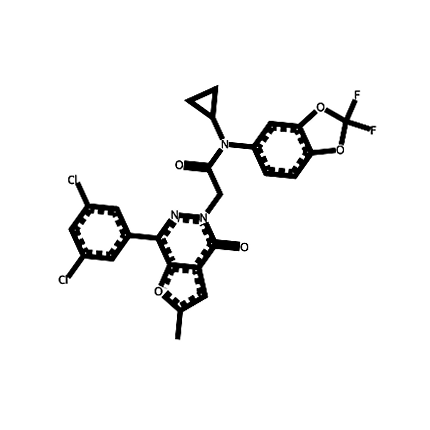 Cc1cc2c(=O)n(CC(=O)N(c3ccc4c(c3)OC(F)(F)O4)C3CC3)nc(-c3cc(Cl)cc(Cl)c3)c2o1